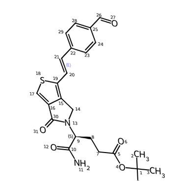 CC(C)(C)OC(=O)CC[C@@H](C(N)=O)N1Cc2c(csc2/C=C/c2ccc(C=O)cc2)C1=O